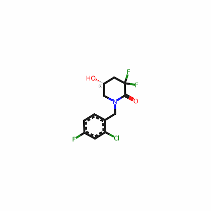 O=C1N(Cc2ccc(F)cc2Cl)C[C@H](O)CC1(F)F